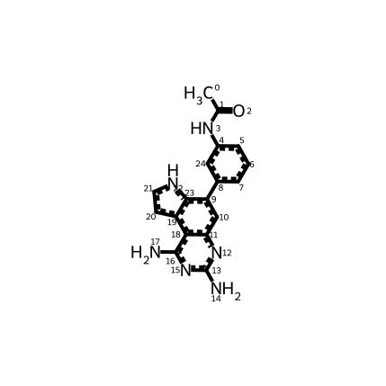 CC(=O)Nc1cccc(-c2cc3nc(N)nc(N)c3c3cc[nH]c23)c1